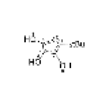 CC(C)(C)c1sc(O)c(O)c1O